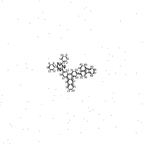 c1ccc(-c2nc(-c3ccccc3)nc(-c3ccc(-c4cc5ccccc5cc4-c4cccc(-c5ccc6c7c(cccc57)-c5ccccc5-6)c4)cc3)n2)cc1